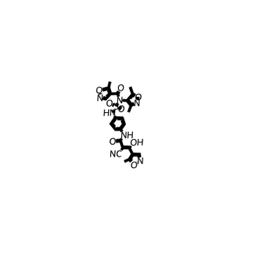 Cc1noc(C)c1N(C(=O)c1cnoc1C)S(=O)(=O)Nc1ccc(NC(=O)C(C#N)=C(O)c2cnoc2C)cc1